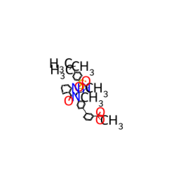 COC(=O)c1cccc(-c2ccc(-n3c(C(C)N(C)S(=O)(=O)c4ccc(C(C)(C)C)cc4)nc4ccccc4c3=O)cc2)c1